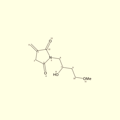 C=C1CC(=O)N(CC(O)CCOC)C1=O